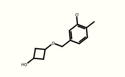 Cc1ccc(COC2CC(O)C2)cc1Cl